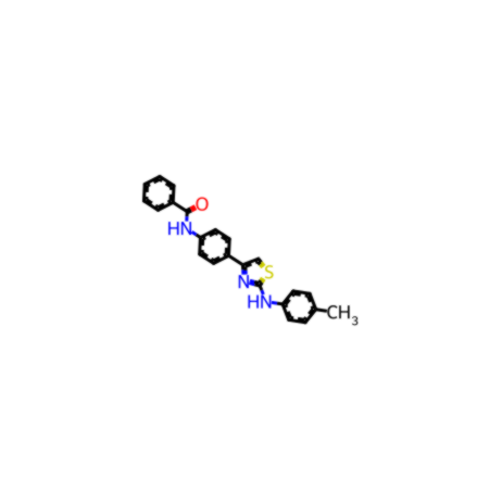 Cc1ccc(Nc2nc(-c3ccc(NC(=O)c4ccccc4)cc3)cs2)cc1